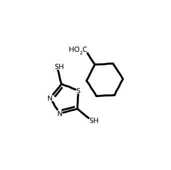 O=C(O)C1CCCCC1.Sc1nnc(S)s1